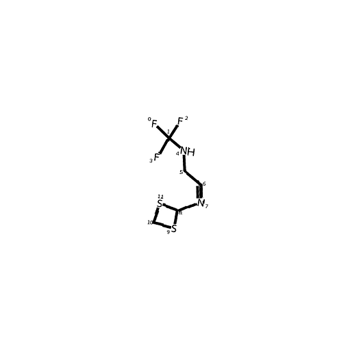 FC(F)(F)NC/C=N\C1SCS1